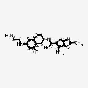 Cc1nc2sc(C(O)N[C@H]3COc4cc(NCCN)cc(F)c4C3)c(N)c2s1